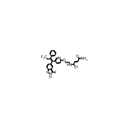 CCC(C=CC(N)=O)NCCOc1ccc(/C(=C(/CC(F)(F)F)c2ccccc2)c2ccc3n[nH]c(F)c3c2)cn1